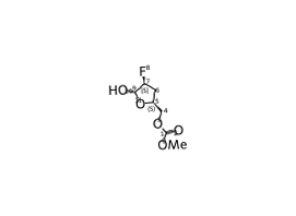 COC(=O)OC[C@@H]1C[C@H](F)C(O)O1